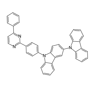 c1ccc(-c2ccnc(-c3ccc(-n4c5ccccc5c5cc(-n6c7ccccc7c7ccccc76)ccc54)cc3)n2)cc1